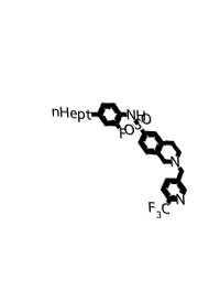 CCCCCCCc1ccc(NS(=O)(=O)c2ccc3c(c2)CCN(Cc2ccc(C(F)(F)F)nc2)C3)c(F)c1